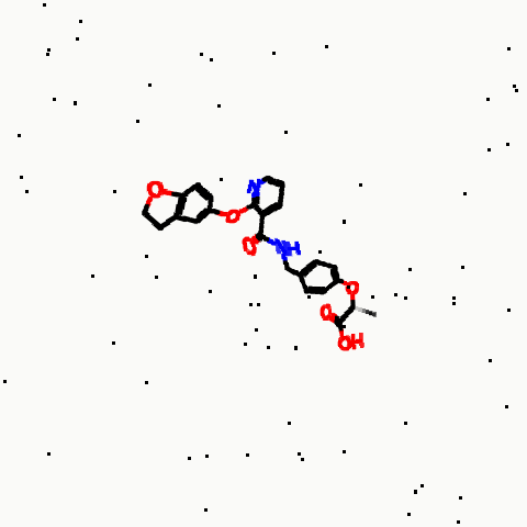 C[C@@H](Oc1ccc(CNC(=O)c2cccnc2Oc2ccc3c(c2)CCO3)cc1)C(=O)O